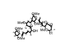 CC[C@H](OC)[C@@H](C)[C@@H]1O[C@H]1[C@H](O)[C@@H](C)/C=C/C=C(\C)[C@H]1O[C@@H](OC)CC(CC[C@H](OC)[C@@H](C)[C@@H]2O[C@H]2[C@H](O)[C@@H](C)/C=C/C=C(\C)[C@H]2O[C@@H](OC)CC[C@H]2OC)[C@@H]1OC